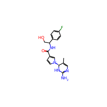 CC1=CN=C(N)N[C@H]1n1ccc(C(=O)NC(CO)c2ccc(F)cc2)c1